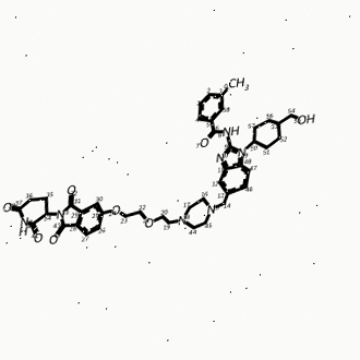 Cc1cccc(C(=O)Nc2nc3cc(CN4CCN(CCOCCOc5ccc6c(c5)C(=O)N(C5CCC(=O)NC5=O)C6=O)CC4)ccc3n2C2CCC(CO)CC2)c1